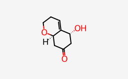 O=C1C[C@@H](O)C2=CCCO[C@@H]2C1